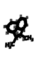 CC1=C(C)c2cccc3cccc1c23